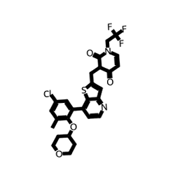 Cc1cc(Cl)cc(-c2ccnc3cc(CC4C(=O)C=CN(CC(F)(F)F)C4=O)sc23)c1OC1CCOCC1